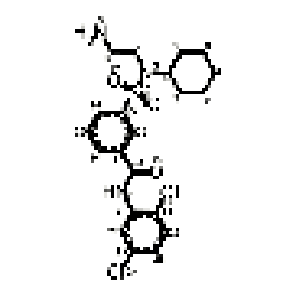 NCCN(C1CCCCC1)S(=O)(=O)c1cccc(C(=O)Nc2cc(Cl)ccc2O)c1